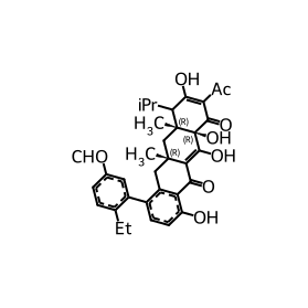 CCc1ccc(C=O)cc1-c1ccc(O)c2c1C[C@]1(C)C[C@]3(C)C(C(C)C)C(O)=C(C(C)=O)C(=O)[C@]3(O)C(O)=C1C2=O